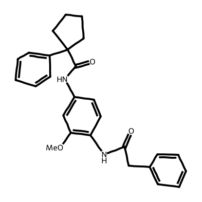 COc1cc(NC(=O)C2(c3ccccc3)CCCC2)ccc1NC(=O)Cc1ccccc1